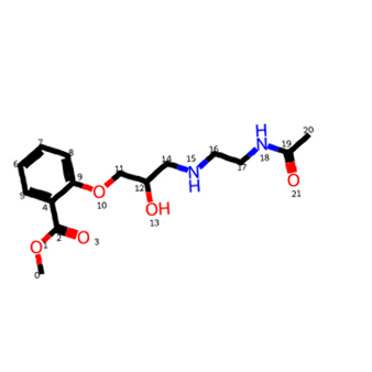 COC(=O)c1ccccc1OCC(O)CNCCNC(C)=O